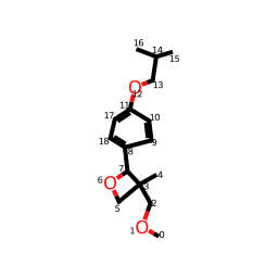 COCC1(C)COC1c1ccc(OCC(C)C)cc1